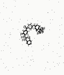 O=C(Nc1ccccc1F)Nc1ccc(C(=O)N2CCN(Cc3ccc(C(O)(C(F)(F)F)C(F)(F)F)cc3)CC2)cc1F